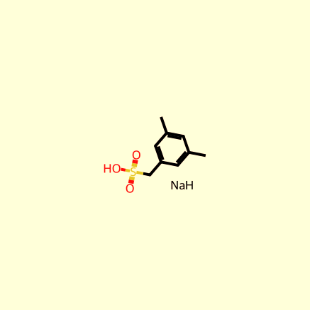 Cc1cc(C)cc(CS(=O)(=O)O)c1.[NaH]